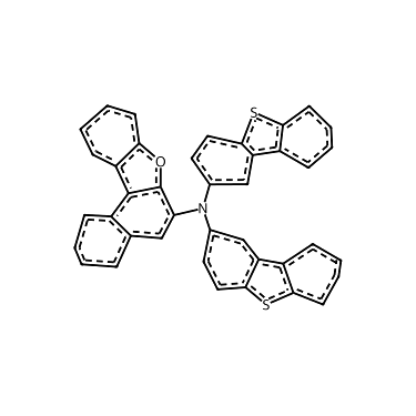 c1ccc2c(c1)cc(N(c1ccc3sc4ccccc4c3c1)c1ccc3sc4ccccc4c3c1)c1oc3ccccc3c12